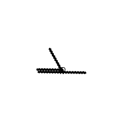 CCCCCCCCCCCCCCCCCCN(CCCCCCCCCCCCCCCCCC)C(=O)N(CCCCCCCCCCCCCCCCCC)CCCCCCCCCCCCCCCCCC